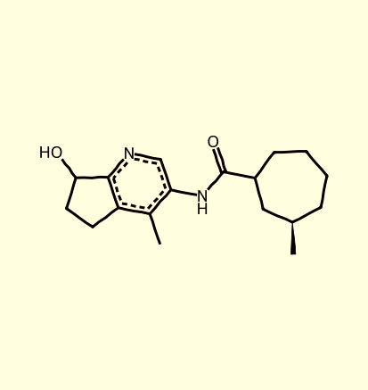 Cc1c(NC(=O)C2CCCC[C@@H](C)C2)cnc2c1CCC2O